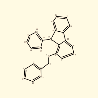 c1ccc(CSc2cccc3c4ccccc4n(-c4ncccn4)c23)cc1